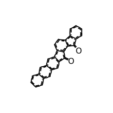 O=c1c2ccccc2c2ccc3c4cc5cc6ccccc6cc5cc4c(=O)c3c12